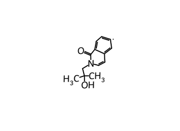 CC(C)(O)Cn1ccc2c[c]ccc2c1=O